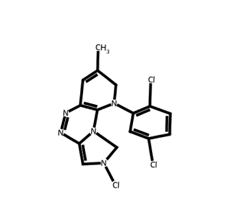 CC1=CC2=C(N3CN(Cl)C=C3N=N2)N(c2cc(Cl)ccc2Cl)C1